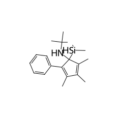 CC1=C(C)C(NC(C)(C)C)([SiH](C)C)C(c2ccccc2)=C1C